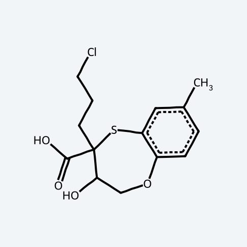 Cc1ccc2c(c1)SC(CCCCl)(C(=O)O)C(O)CO2